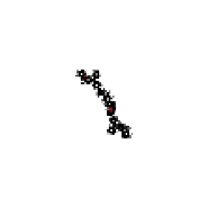 c1ccc(N(c2ccc(-c3ccc4c(c3)sc3cc5cc6sc7cc(-c8ccc(N(c9ccccc9)c9ccc%10sc%11ccccc%11c%10c9)cc8)ccc7c6cc5cc34)cc2)c2ccc3sc4ccccc4c3c2)cc1